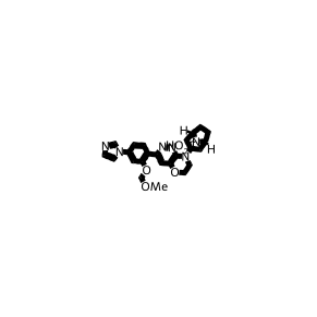 COCOc1cc(-n2ccnc2)ccc1-c1cc2c(nn1)N(C1C[C@H]3CC[C@@H](C1)N3C(=O)O)CCO2